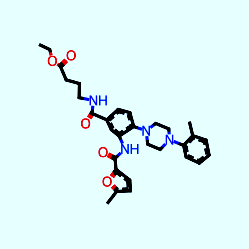 CCOC(=O)CCCNC(=O)c1ccc(N2CCN(c3ccccc3C)CC2)c(NC(=O)c2ccc(C)o2)c1